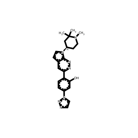 CN1CC[C@@H](n2ccc3cc(-c4ccc(-n5ccnn5)cc4O)nnc32)CC1(C)C